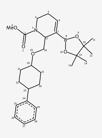 COC(=O)N1CCC=C(B2OC(C)(C)C(C)(C)O2)C1COC1CCC(c2ccccc2)CC1